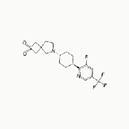 O=S1(=O)CC2(CCN([C@H]3CC[C@H](c4ncc(C(F)(F)F)cc4F)CC3)C2)C1